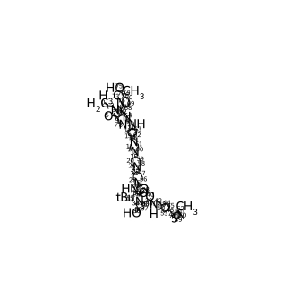 C=CCn1c(=O)c2cnc(Nc3ccc(N4CCN(C5CCN(C6CCN(C(=O)N[C@H](C(=O)N7C[C@H](O)C[C@H]7C(=O)NCc7ccc(-c8scnc8C)cc7)C(C)(C)C)CC6)CC5)CC4)cc3)nc2n1-c1cccc(C(C)(C)O)n1